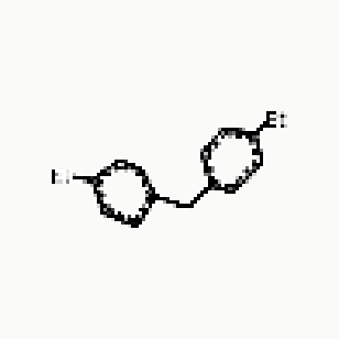 CCc1ccc(Cc2ccc(CC)cc2)cc1